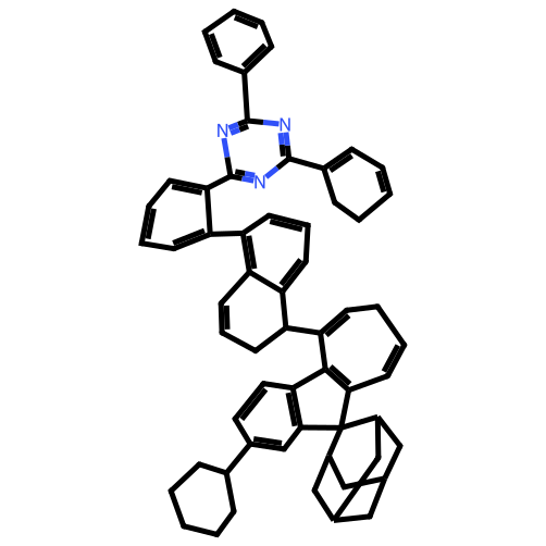 C1=CCCC(c2nc(-c3ccccc3)nc(-c3ccccc3-c3cccc4c3C=CCC4C3=CCC=CC4=C3c3ccc(C5CCCCC5)cc3C43C4CC5CC(C4)CC3C5)n2)=C1